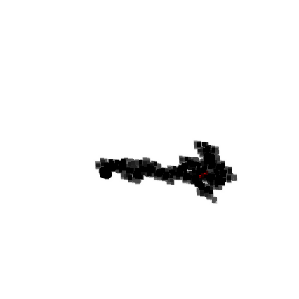 CC[C@H](C)[C@H](NC(=O)[C@H](CS)NC(=O)[C@@H](NC(=O)[C@H](CS)NC(=O)[C@H](CC(=O)O)NC(=O)[C@@H](N)Cc1c[nH]c2ccccc12)[C@@H](C)O)C(=O)NCC(=O)N[C@@H](C)C(=O)NCC(=O)N[C@@H](CCCNC(=N)N)C(=O)NCC(=O)N[C@@H](CCCNC(=N)N)C(=O)N[C@H](C(=O)N[C@@H](CO)C(=O)N[C@@H](CS)C(=O)N[C@H](C(=O)N[C@H](C(=O)N[C@@H](C)C(=O)N[C@@H](CC(N)=O)C(=O)N[C@@H](CCCNC(=N)N)C(=O)O)[C@@H](C)CC)[C@@H](C)O)[C@@H](C)CC